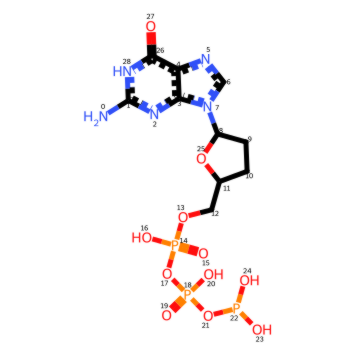 Nc1nc2c(ncn2C2CCC(COP(=O)(O)OP(=O)(O)OP(O)O)O2)c(=O)[nH]1